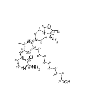 Cc1nc(N2CCC3(CC2)CO[C@@H](C)[C@H]3N)c(CCCCCCCCCCO)nc1Sc1ccnc(N)c1Cl